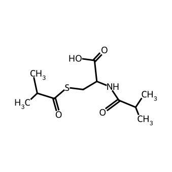 CC(C)C(=O)NC(CSC(=O)C(C)C)C(=O)O